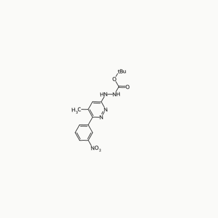 Cc1cc(NNC(=O)OC(C)(C)C)nnc1-c1cccc([N+](=O)[O-])c1